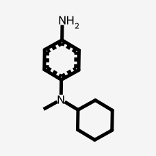 CN(c1ccc(N)cc1)C1CCCCC1